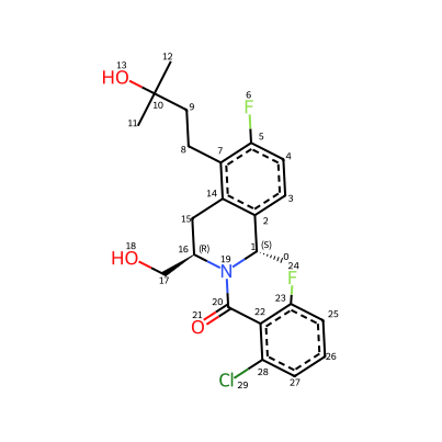 C[C@H]1c2ccc(F)c(CCC(C)(C)O)c2C[C@H](CO)N1C(=O)c1c(F)cccc1Cl